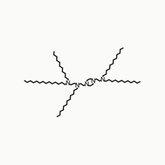 CCCCCCCCCCCCCCN(CCCCCCCCCCC)CCN(CCCCCCCCCCCC)CCN1CCN(CCN(CCCCCCCCCCCC)CCCCCCCCCCCC)CC1